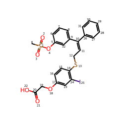 CS(=O)(=O)Oc1cccc(/C(=C\CSc2ccc(OCC(=O)O)cc2I)c2ccccc2)c1